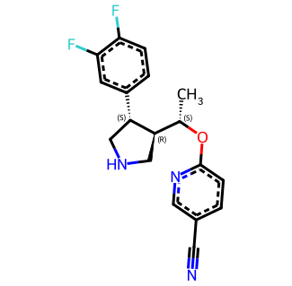 C[C@H](Oc1ccc(C#N)cn1)[C@H]1CNC[C@@H]1c1ccc(F)c(F)c1